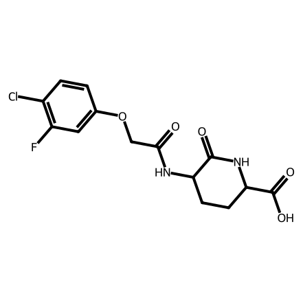 O=C(COc1ccc(Cl)c(F)c1)NC1CCC(C(=O)O)NC1=O